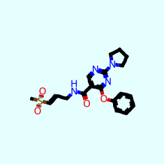 CS(=O)(=O)C=CCNC(=O)c1cnc(N2CCCC2)nc1Oc1ccccc1